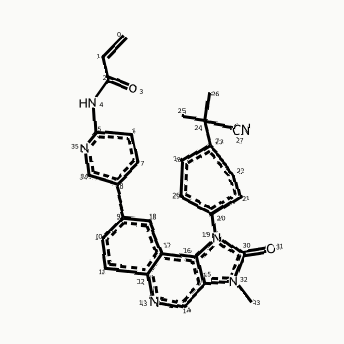 C=CC(=O)Nc1ccc(-c2ccc3ncc4c(c3c2)n(-c2ccc(C(C)(C)C#N)cc2)c(=O)n4C)cn1